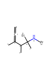 C=C=C(C)C(C)C(C)(CC)NC(C)C